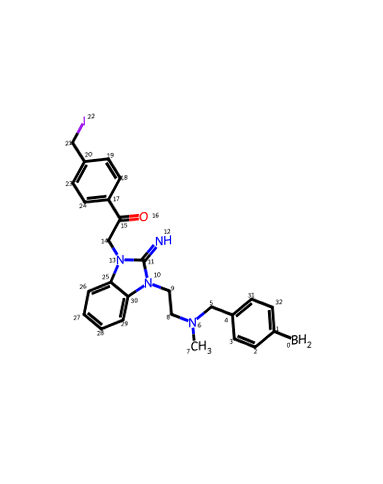 Bc1ccc(CN(C)CCn2c(=N)n(CC(=O)c3ccc(CI)cc3)c3ccccc32)cc1